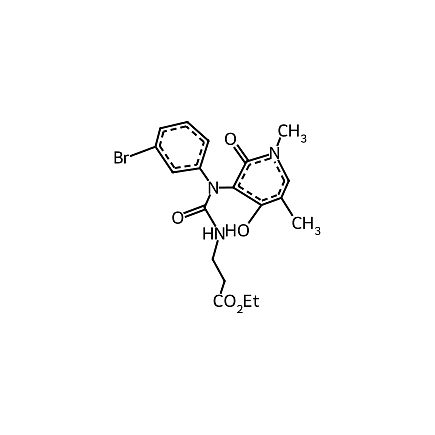 CCOC(=O)CCNC(=O)N(c1cccc(Br)c1)c1c(O)c(C)cn(C)c1=O